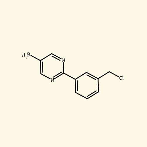 Bc1cnc(-c2cccc(CCl)c2)nc1